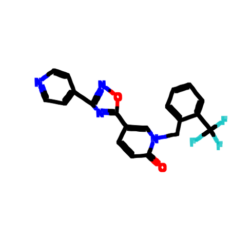 O=c1ccc(-c2nc(-c3ccncc3)no2)cn1Cc1ccccc1C(F)(F)F